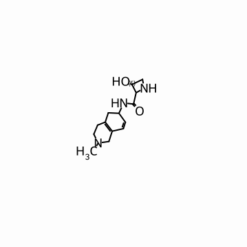 CN1CCC2=C(C=CC(NC(=O)C3NC[C@@H]3O)C2)C1